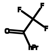 CCCC(=O)C(F)(F)F